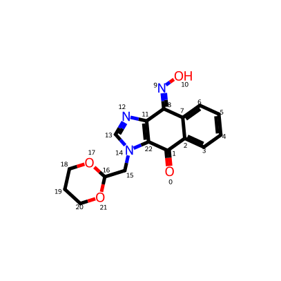 O=C1c2ccccc2C(=NO)c2ncn(CC3OCCCO3)c21